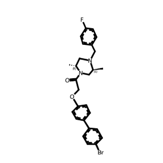 C[C@@H]1CN(Cc2ccc(F)cc2)[C@@H](C)CN1C(=O)COc1ccc(-c2ccc(Br)cc2)cc1